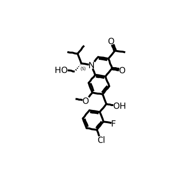 COc1cc2c(cc1C(O)c1cccc(Cl)c1F)c(=O)c(C(C)=O)cn2[C@H](CO)C(C)C